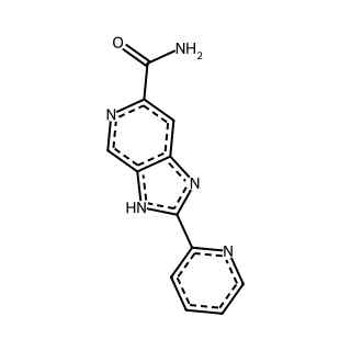 NC(=O)c1cc2nc(-c3ccccn3)[nH]c2cn1